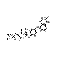 CC(C)(C)OC(=O)N[C@H]1[C@@H]2Oc3ccc(Oc4ccnc5c4CCC(=O)N5)cc3[C@H]12